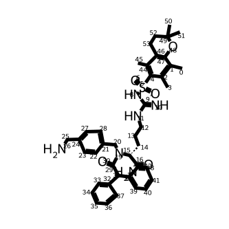 Cc1c(C)c(S(=O)(=O)NC(=N)NCCC[C@H](C(N)=O)N(Cc2ccc(CN)cc2)C(=O)C(c2ccccc2)c2ccccc2)c(C)c2c1OC(C)(C)CC2